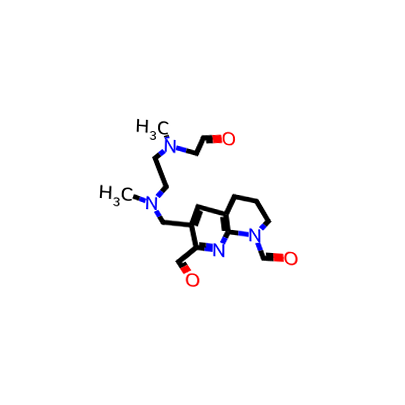 CN(CC=O)CCN(C)Cc1cc2c(nc1C=O)N(C=O)CCC2